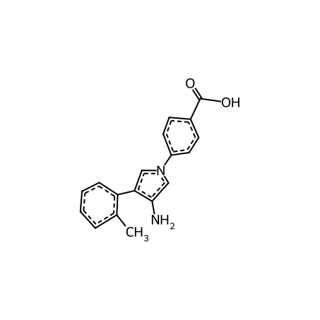 Cc1ccccc1-c1cn(-c2ccc(C(=O)O)cc2)cc1N